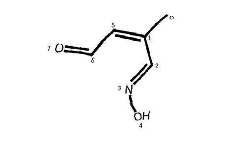 CC(C=NO)=CC=O